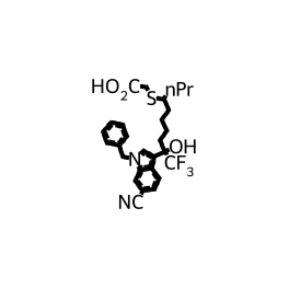 CCCC(CCCCC(O)(c1cn(Cc2ccccc2)c2cc(C#N)ccc12)C(F)(F)F)SCC(=O)O